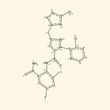 Cc1cc(F)cc(C(N)=O)c1NC(=O)c1cc(Cn2nnc(C(F)(F)F)n2)nn1-c1ncccc1Cl